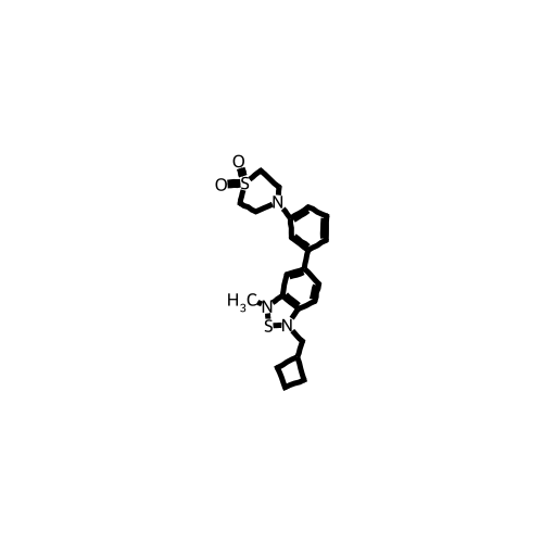 CN1SN(CC2CCC2)c2ccc(-c3cccc(N4CCS(=O)(=O)CC4)c3)cc21